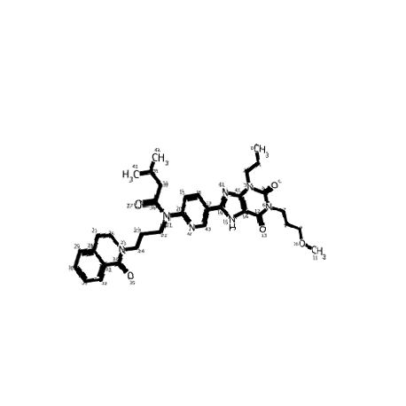 CCCn1c(=O)n(CCCOC)c(=O)c2[nH]c(-c3ccc(N(CCCN4CCc5ccccc5C4=O)C(=O)CC(C)C)nc3)nc21